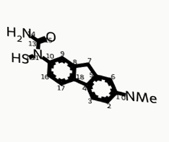 CNc1ccc2c(c1)Cc1cc(N(S)C(N)=O)ccc1-2